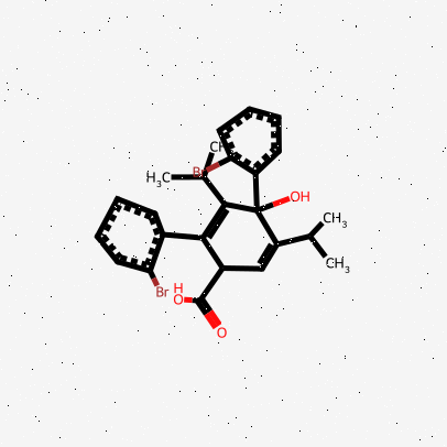 CC(C)C1=CC(C(=O)O)C(c2ccccc2Br)=C(C(C)C)C1(O)c1ccccc1Br